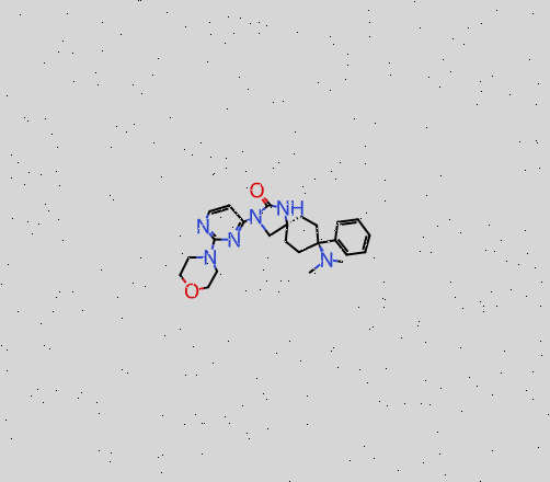 CN(C)[C@]1(c2ccccc2)CC[C@]2(CC1)CN(c1ccnc(N3CCOCC3)n1)C(=O)N2